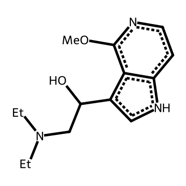 CCN(CC)CC(O)c1c[nH]c2ccnc(OC)c12